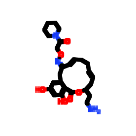 NCCC1C/C=C/CC/C=C/C(=N\OCC(=O)N2CCCCC2)Cc2cc(O)cc(O)c2C(=O)O1